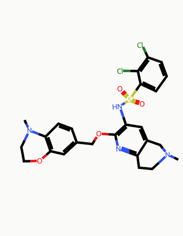 CN1CCc2nc(OCc3ccc4c(c3)OCCN4C)c(NS(=O)(=O)c3cccc(Cl)c3Cl)cc2C1